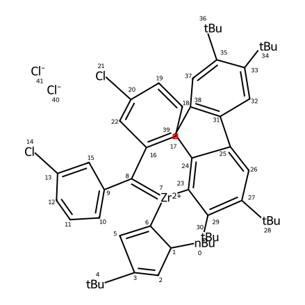 CCCCC1C=C(C(C)(C)C)C=[C]1[Zr+2](=[C](c1cccc(Cl)c1)c1cccc(Cl)c1)[c]1c2c(cc(C(C)(C)C)c1C(C)(C)C)-c1cc(C(C)(C)C)c(C(C)(C)C)cc1C2.[Cl-].[Cl-]